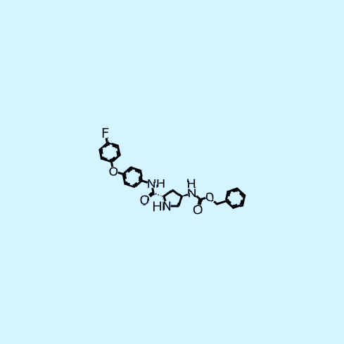 O=C(N[C@H]1CN[C@H](C(=O)Nc2ccc(Oc3ccc(F)cc3)cc2)C1)OCc1ccccc1